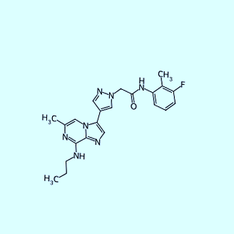 CCCNc1nc(C)cn2c(-c3cnn(CC(=O)Nc4cccc(F)c4C)c3)cnc12